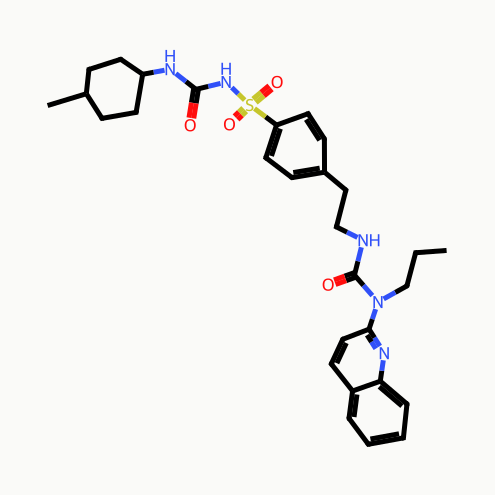 CCCN(C(=O)NCCc1ccc(S(=O)(=O)NC(=O)NC2CCC(C)CC2)cc1)c1ccc2ccccc2n1